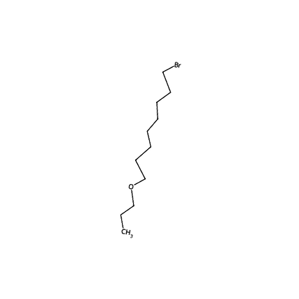 CCCOCCCCCCCCBr